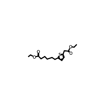 CCOC(=O)CCCCCc1ccc(CC(=O)OCC)s1